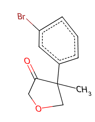 CC1(c2cccc(Br)c2)COCC1=O